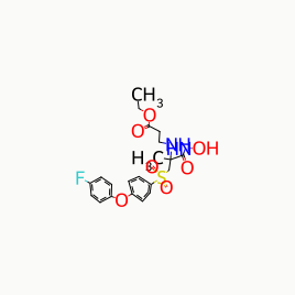 CCOC(=O)CCNC(C)(CS(=O)(=O)c1ccc(Oc2ccc(F)cc2)cc1)C(=O)NO